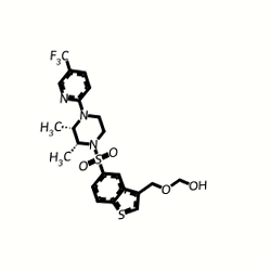 C[C@@H]1[C@H](C)N(c2ccc(C(F)(F)F)cn2)CCN1S(=O)(=O)c1ccc2scc(COCO)c2c1